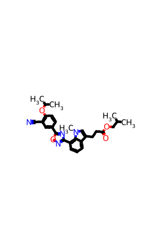 CC(C)COC(=O)CCc1cn(C)c2c(-c3noc(-c4ccc(OC(C)C)c(C#N)c4)n3)cccc12